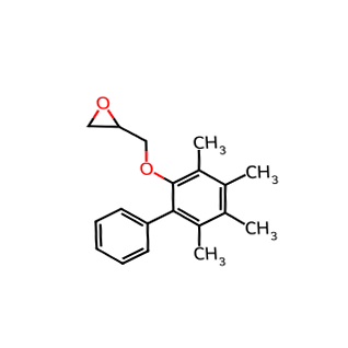 Cc1c(C)c(C)c(-c2ccccc2)c(OCC2CO2)c1C